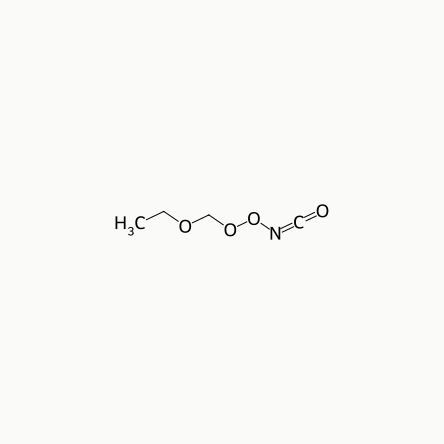 CCOCOON=C=O